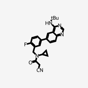 CC(C)(C)Nc1ncnc2ccc(-c3ccc(F)c(CN(C(=O)CC#N)C4CC4)c3)cc12